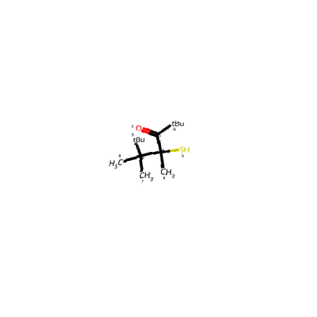 CC(C)(C)C(=O)C(C)(S)C(C)(C)C(C)(C)C